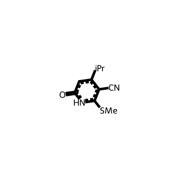 CSc1[nH]c(=O)cc(C(C)C)c1C#N